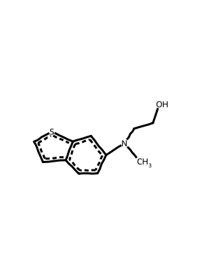 CN(CCO)c1ccc2ccsc2c1